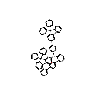 c1ccc(-c2ccc(-c3ccccc3N(c3ccc(-c4ccc5c(c4)-c4ccccc4C5(c4ccccc4)c4ccccc4)cc3)c3ccc4c(c3)C(c3ccccc3)(c3ccccc3)c3ccccc3-4)cc2)cc1